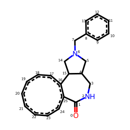 O=C1NCC2CN(Cc3ccccc3)CC2c2ccccccccc21